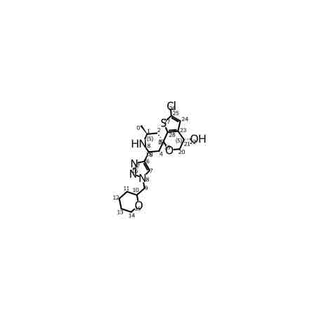 C[C@H]1C[C@@]2(C[C@@H](c3cn(CC4CCCCO4)nn3)N1)OC[C@@H](O)c1cc(Cl)sc12